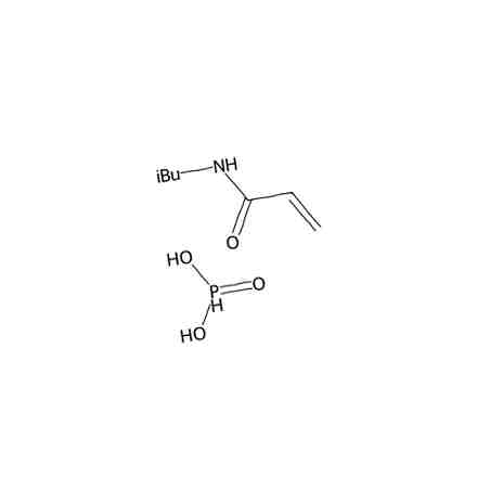 C=CC(=O)NC(C)CC.O=[PH](O)O